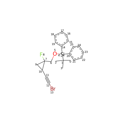 CC(C)(C)[Si](OCC1(F)CC1C#CBr)(c1ccccc1)c1ccccc1